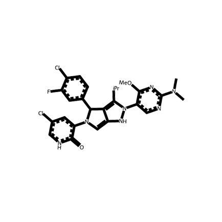 COc1nc(N(C)C)ncc1N1NC2=CN(c3cc(Cl)c[nH]c3=O)C(c3ccc(Cl)c(F)c3)C2=C1C(C)C